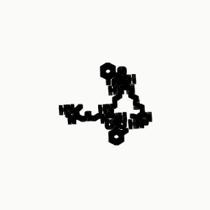 Cc1ccccc1S(=O)(=O)N/C(=N/CCSCc1nc[nH]c1C)NCCCN/C(=N\CCSCc1nc[nH]c1C)NS(=O)(=O)c1ccccc1C